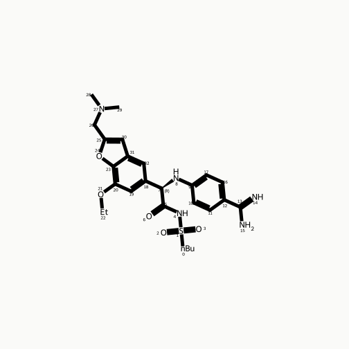 CCCCS(=O)(=O)NC(=O)[C@H](Nc1ccc(C(=N)N)cc1)c1cc(OCC)c2oc(CN(C)C)cc2c1